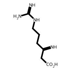 N=C(CCCNC(=N)N)CC(=O)O